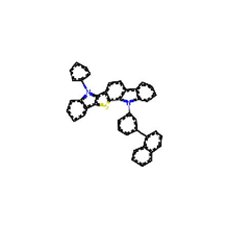 c1ccc(-n2c3ccccc3c3sc4c(ccc5c6ccccc6n(-c6cccc(-c7cccc8ccccc78)c6)c54)c32)cc1